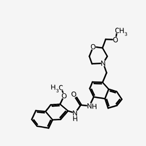 COCC1CN(Cc2ccc(NC(=O)Nc3cc4ccccc4cc3OC)c3ccccc23)CCO1